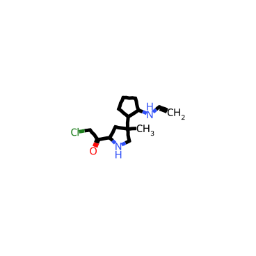 C=CNC1CCCC1C1(C)CNC(C(=O)CCl)C1